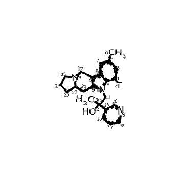 Cc1cc(F)c2c(c1)c1c(n2CC(C)(O)c2cccnc2)CC2CCCN2C1